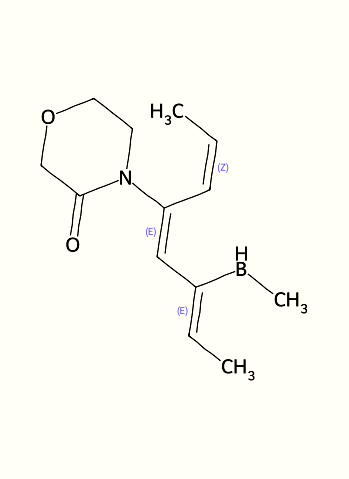 CBC(=C\C)/C=C(\C=C/C)N1CCOCC1=O